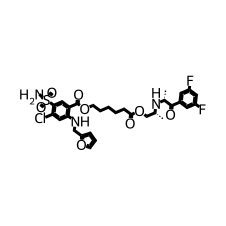 C[C@H](COC(=O)CCCCCOC(=O)c1cc(S(N)(=O)=O)c(Cl)cc1NCc1ccco1)N[C@H](C)C(=O)c1cc(F)cc(F)c1